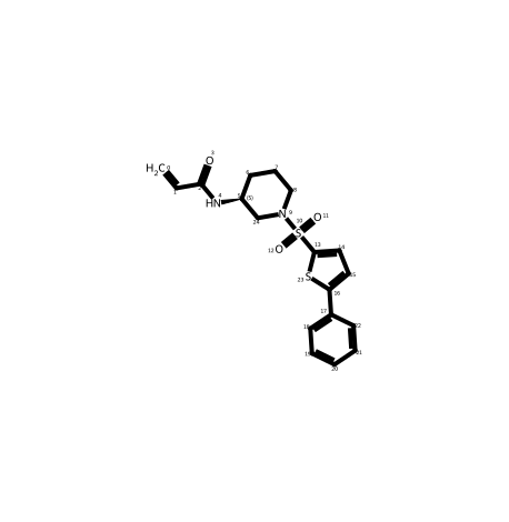 C=CC(=O)N[C@H]1CCCN(S(=O)(=O)c2ccc(-c3ccccc3)s2)C1